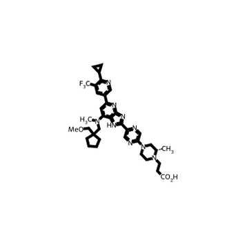 COCC1(CN(C)c2cc(-c3cnc(C4CC4)c(C(F)(F)F)c3)nc3nc(-c4cnc(N5CCN(CCC(=O)O)[C@@H](C)C5)cn4)[nH]c23)CCCC1